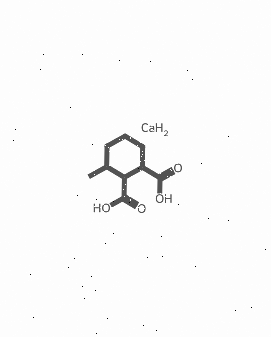 CC1CCCC(C(=O)O)C1C(=O)O.[CaH2]